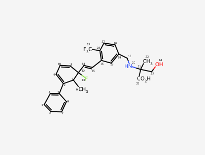 CC1C(c2ccccc2)=CC=CC1(F)/C=C/c1cc(CNC(C)(CO)C(=O)O)ccc1C(F)(F)F